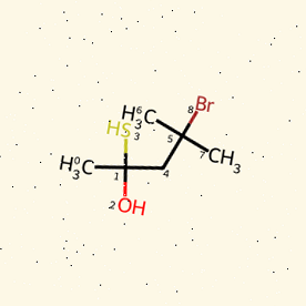 CC(O)(S)CC(C)(C)Br